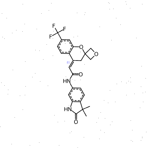 CC1(C)C(=O)Nc2cc(NC(=O)/C=C3\CC4(COC4)Oc4cc(C(F)(F)F)ccc43)ccc21